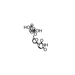 O=c1ccn([C@H]2CC[C@@H](COP(=O)(O)OP(=O)(O)O)O2)c(=O)[nH]1